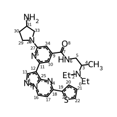 CCN(CC)C(C)CNC(=O)c1cc(-c2cnn3ccc(-c4cccs4)nc23)nc(N2CCC(N)C2)c1